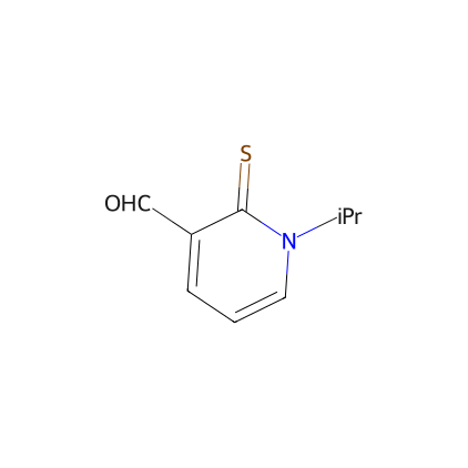 CC(C)n1cccc(C=O)c1=S